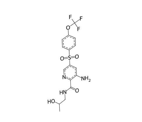 CC(O)CNC(=O)c1ncc(S(=O)(=O)c2ccc(OC(F)(F)F)cc2)cc1N